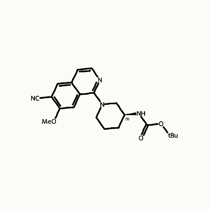 COc1cc2c(N3CCC[C@H](NC(=O)OC(C)(C)C)C3)nccc2cc1C#N